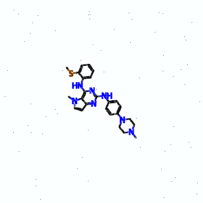 CSc1ccccc1Nc1nc(Nc2ccc(N3CCN(C)CC3)cc2)nc2ccn(C)c12